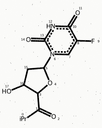 CC(C)C(=O)C1OC(n2cc(F)c(=O)[nH]c2=O)CC1O